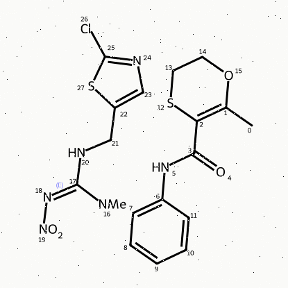 CC1=C(C(=O)Nc2ccccc2)SCCO1.CN/C(=N\[N+](=O)[O-])NCc1cnc(Cl)s1